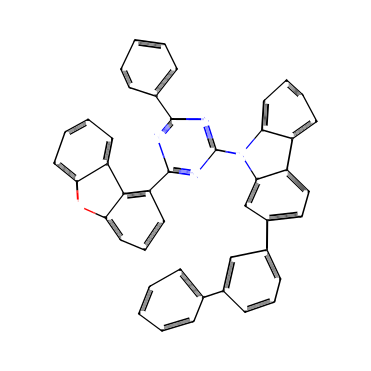 c1ccc(-c2cccc(-c3ccc4c5ccccc5n(-c5nc(-c6ccccc6)nc(-c6cccc7oc8ccccc8c67)n5)c4c3)c2)cc1